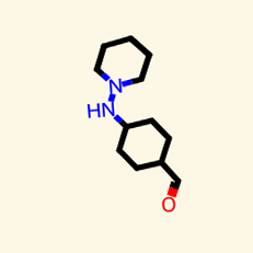 O=CC1CCC(NN2CCCCC2)CC1